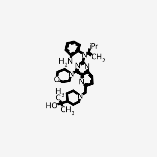 C=C(C(C)C)N(c1nc(N2CCOCC2)c2nc(CN3CCC(C(C)(C)O)CC3)ccc2n1)c1ccccc1N